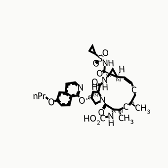 CCCOc1ccc2c(O[C@@H]3C[C@H]4C(=O)N[C@]5(C(=O)NS(=O)(=O)C6CC6)C[C@H]5C=CCC[C@@H](C)C[C@@H](C)[C@H](NC(=O)O)C(=O)N4C3)nccc2c1